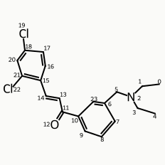 CCN(CC)Cc1cccc(C(=O)C=Cc2ccc(Cl)cc2Cl)c1